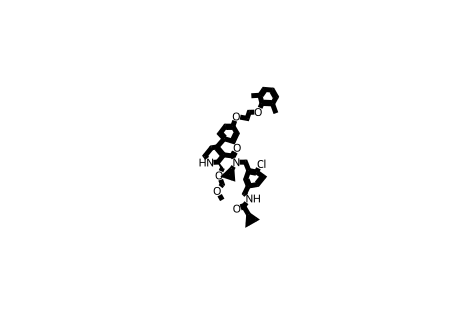 COCOC[C@H]1NCCC(c2ccc(OCCOc3c(C)cccc3C)cc2)=C1C(=O)N(Cc1cc(CNC(=O)C2CC2)ccc1Cl)C1CC1